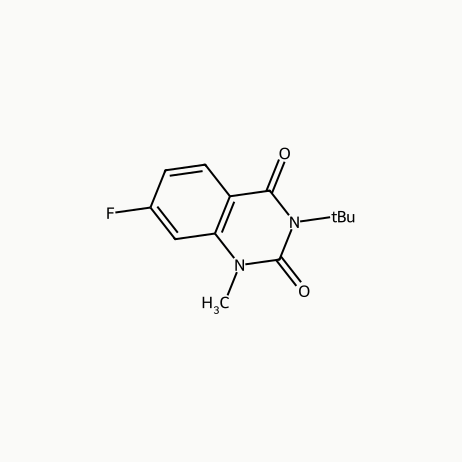 Cn1c(=O)n(C(C)(C)C)c(=O)c2ccc(F)cc21